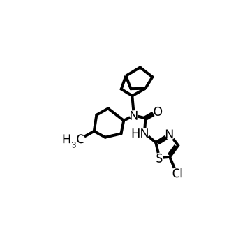 CC1CCC(N(C(=O)Nc2ncc(Cl)s2)C2CC3CCC2C3)CC1